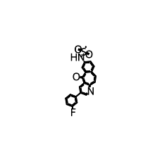 CS(=O)(=O)Nc1ccc2ccc3ncc(-c4cccc(F)c4)cc3c(=O)c2c1